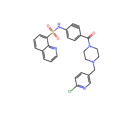 O=C(c1c#cc(NS(=O)(=O)c2cccc3cccnc23)cc1)N1CCN(Cc2ccc(Cl)nc2)CC1